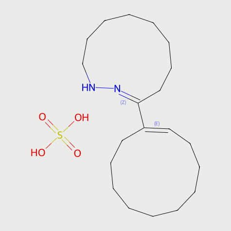 C1=C(/C2=N\NCCCCCCCC2)CCCCCCCCC/1.O=S(=O)(O)O